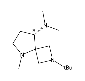 CN(C)[C@H]1CCN(C)C12CN(C(C)(C)C)C2